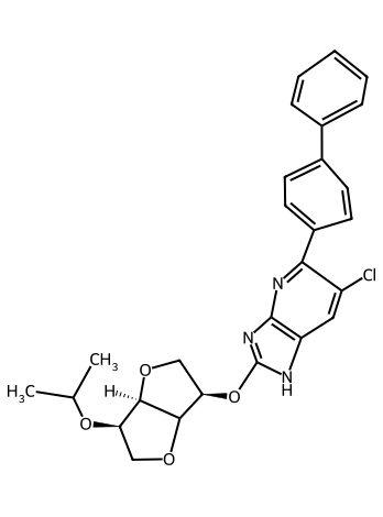 CC(C)O[C@@H]1COC2[C@H](Oc3nc4nc(-c5ccc(-c6ccccc6)cc5)c(Cl)cc4[nH]3)CO[C@@H]21